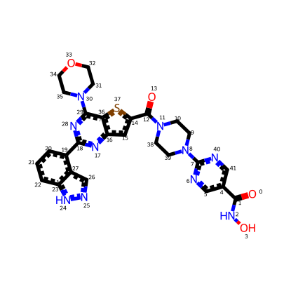 O=C(NO)c1cnc(N2CCN(C(=O)c3cc4nc(-c5cccc6[nH]ncc56)nc(N5CCOCC5)c4s3)CC2)nc1